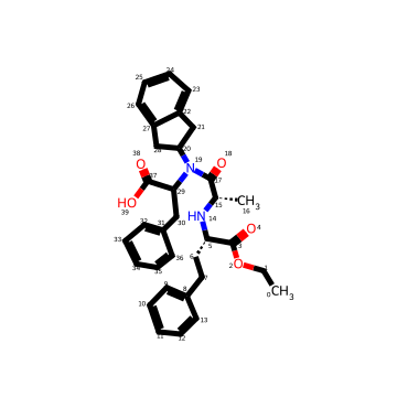 CCOC(=O)[C@H](CCc1ccccc1)N[C@@H](C)C(=O)N(C1Cc2ccccc2C1)C(Cc1ccccc1)C(=O)O